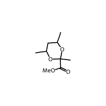 COC(=O)C1(C)OC(C)CC(C)O1